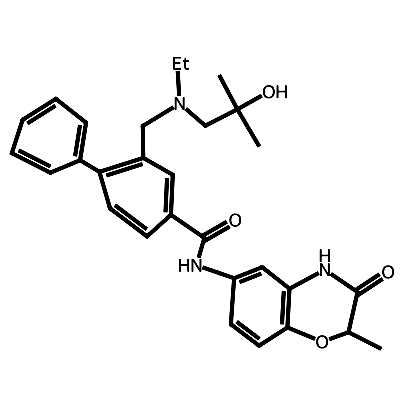 CCN(Cc1cc(C(=O)Nc2ccc3c(c2)NC(=O)C(C)O3)ccc1-c1ccccc1)CC(C)(C)O